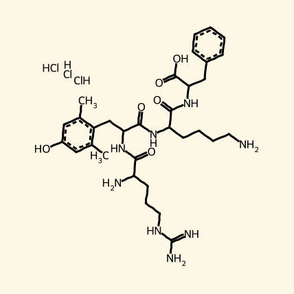 Cc1cc(O)cc(C)c1CC(NC(=O)C(N)CCCNC(=N)N)C(=O)NC(CCCCN)C(=O)NC(Cc1ccccc1)C(=O)O.Cl.Cl.Cl